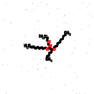 CCCCCCCCCOC(CCCCC)=C(OCCCCCCCCC)OCOCCC